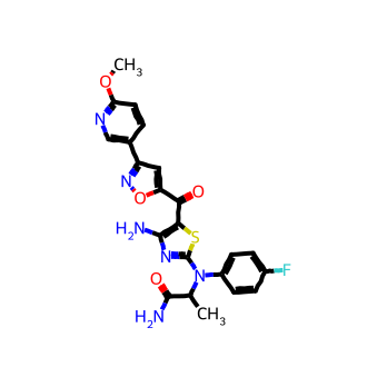 COc1ccc(-c2cc(C(=O)c3sc(N(c4ccc(F)cc4)C(C)C(N)=O)nc3N)on2)cn1